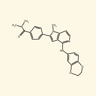 CN(C)C(=O)c1ccc(-c2cc3c(Nc4ccc5c(c4)OCCO5)nccc3n2C)cc1